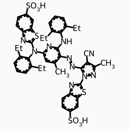 CCc1cccc(CC)c1Nc1nc(N(c2nc3ccc(S(=O)(=O)O)cc3s2)c2c(CC)cccc2CC)cc(C)c1N=Nc1c(C#N)c(C)nn1-c1nc2ccc(S(=O)(=O)O)cc2s1